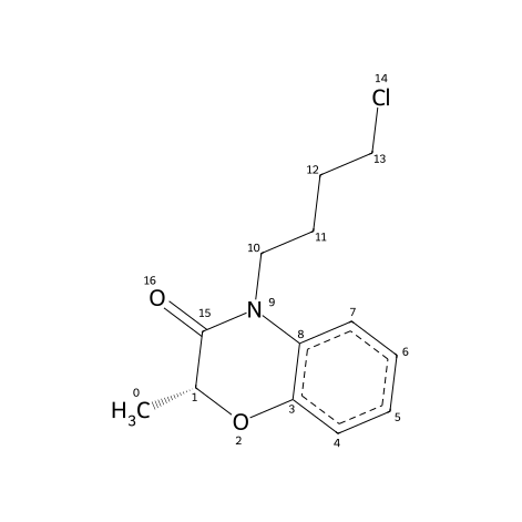 C[C@H]1Oc2ccccc2N(CCCCCl)C1=O